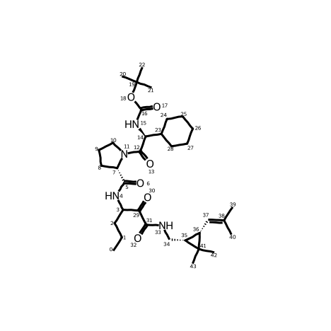 CCCC(NC(=O)[C@@H]1CCCN1C(=O)[C@@H](NC(=O)OC(C)(C)C)C1CCCCC1)C(=O)C(=O)NC[C@@H]1[C@H](C=C(C)C)C1(C)C